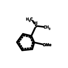 COc1ccccc1[SH](C)C